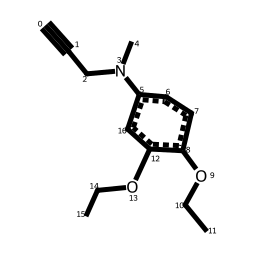 C#CCN(C)c1ccc(OCC)c(OCC)c1